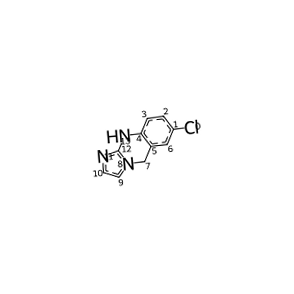 Clc1ccc2c(c1)Cn1ccnc1N2